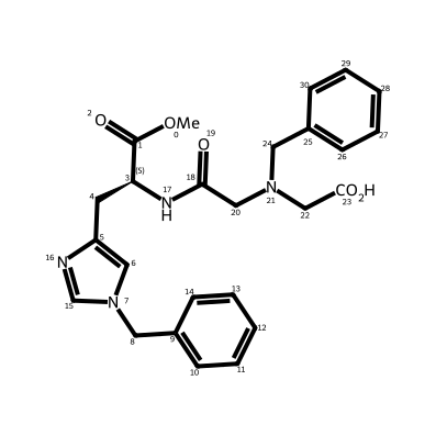 COC(=O)[C@H](Cc1cn(Cc2ccccc2)cn1)NC(=O)CN(CC(=O)O)Cc1ccccc1